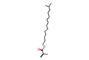 C=C(C)C(=O)OCCCCCCCCCCCCC(C)C